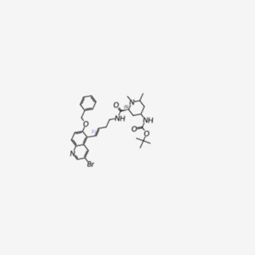 CC1CC(NC(=O)OC(C)(C)C)C[C@@H](C(=O)NCC/C=C/c2c(OCc3ccccc3)ccc3ncc(Br)cc23)N1C